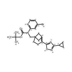 CC(C)(OC(=O)N(CC12CCC(c3nc(C4CC4)no3)=C(C1)C2)c1cc(Br)ccn1)C(F)(F)F